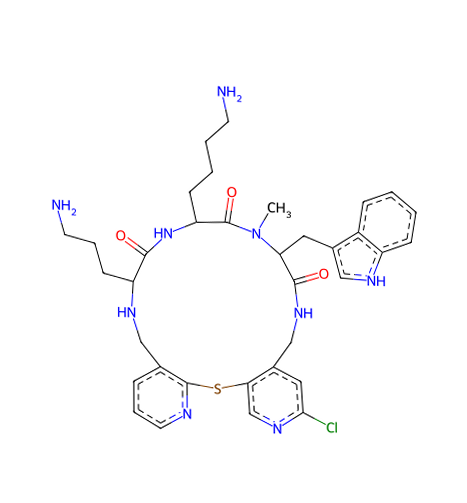 CN1C(=O)C(CCCCN)NC(=O)C(CCCN)NCc2cccnc2Sc2cnc(Cl)cc2CNC(=O)C1Cc1c[nH]c2ccccc12